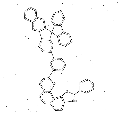 c1ccc(C2Nc3ccc4ccc5ccc(-c6cccc(-c7ccc8c(c7)C7(c9ccccc9-c9ccccc97)c7cc9ccccc9cc7-8)c6)cc5c4c3O2)cc1